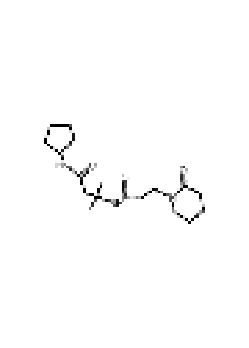 CC(C)(CC(=O)NC1CCCC1)NC(=O)CCN1CCCCC1=O